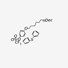 CCCCCCCCCCCCCCCCOc1ccc(OS(=O)(=O)C(F)(F)F)cc1.c1ccc(Sc2ccccc2)cc1